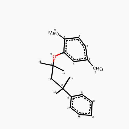 COc1ccc(C=O)cc1OC(C)(C)CC(C)(C)c1ccccc1